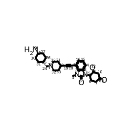 Cn1c(=O)n(C2CCC(=O)CC2=O)c2cccc(C#CC3CCN(C[C@H]4CC[C@H](N)CC4)CC3)c21